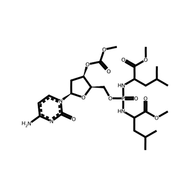 COC(=O)O[C@@H]1C[C@H](n2ccc(N)nc2=O)O[C@@H]1COP(=O)(NC(CC(C)C)C(=O)OC)NC(CC(C)C)C(=O)OC